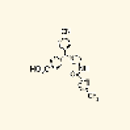 N#Cc1ccc([C@H](c2ccc(C(=O)O)cc2)N2CCC(NC(=O)c3ccc(C(F)(F)F)cc3)C2)cc1